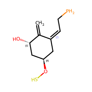 C=C1/C(=C\CP)C[C@@H](OS)C[C@@H]1O